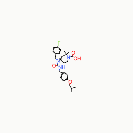 CC(C)COc1ccc(CNC(=O)N(Cc2ccc(F)cc2)[C@@H]2CCN(C(=O)O)C(C)(C)C2)cc1